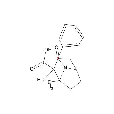 CC1(C(=O)O)C(=O)CC2CCC1(C)N2Cc1ccccc1